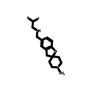 CN1CCC2(CC1)Cc1cc(CNCC(F)F)ccc1O2